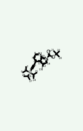 CC(C)[Si](C#Cc1ccnc2c1c(I)cn2C(=O)OC(C)(C)C)(C(C)C)C(C)C